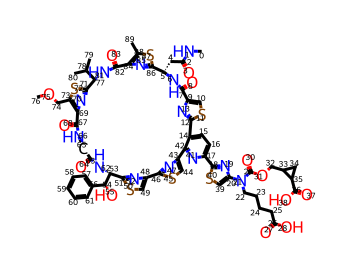 CNC(=O)C[C@@H]1NC(=O)c2csc(n2)-c2ccc(-c3nc(N(CCCCC(=O)O)C(=O)OCC4CC4C(=O)O)cs3)nc2-c2csc(n2)-c2csc(n2)[C@H]([C@@H](O)c2ccccc2)NC(=O)CNC(=O)c2nc(sc2COC)C(C(C)C)NC(=O)c2nc1sc2C